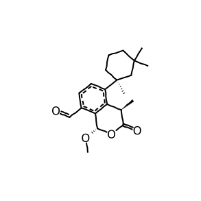 CO[C@H]1OC(=O)[C@H](C)c2c([C@@]3(C)CCCC(C)(C)C3)ccc(C=O)c21